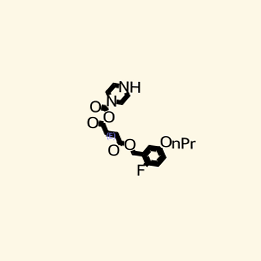 CCCOc1ccc(F)c(COC(=O)/C=C/C(=O)OC(=O)N2CCNCC2)c1